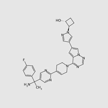 CC(N)(c1ccc(F)cc1)c1cnc(C2=CCN(c3ncnn4cc(-c5cnn([C@@H]6CC[C@H]6O)c5)cc34)CC2)nc1